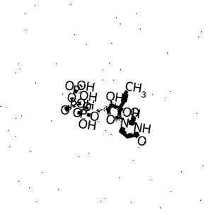 CC#CC1(O)[C@@H](O)[C@@H](COP(=O)(O)OP(=O)(O)OP(=O)(O)O)O[C@H]1n1ccc(=O)[nH]c1=O